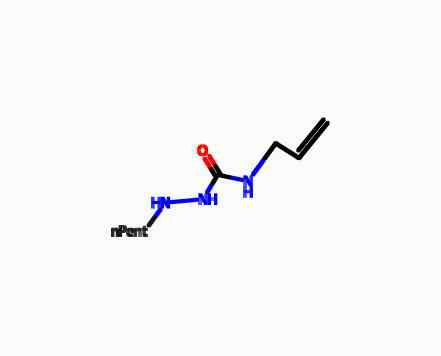 C=CCNC(=O)NNCCCCC